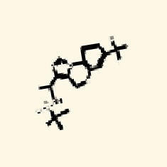 CC(N[S@@+]([O-])C(C)(C)C)c1ncn2c1COc1cc(C(F)(F)F)ccc1-2